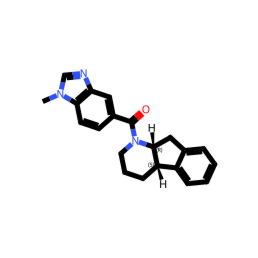 Cn1cnc2cc(C(=O)N3CCC[C@H]4c5ccccc5C[C@H]43)ccc21